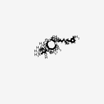 CCO[C@@H](O[C@@H]1[C@@H](C)C(=O)[C@@H](C)C(=O)O[C@H](CC)[C@@](C)(O)[C@H](NCCCCn2cc(-c3cccc(N)c3)nn2)CC(=O)[C@H](C)C[C@@]1(C)OC)C(O)C(CC)N(C)C